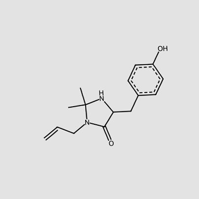 C=CCN1C(=O)C(Cc2ccc(O)cc2)NC1(C)C